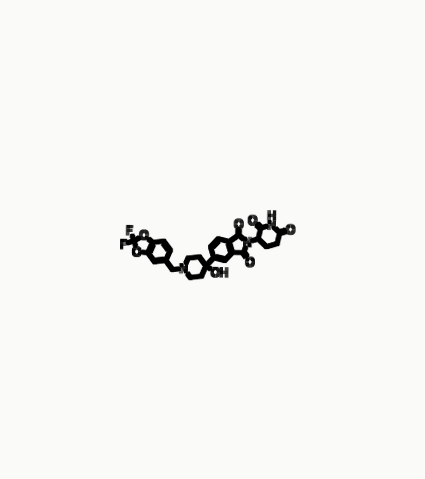 O=C1CCC(N2C(=O)c3ccc(C4(O)CCN(Cc5ccc6c(c5)OC(F)(F)O6)CC4)cc3C2=O)C(=O)N1